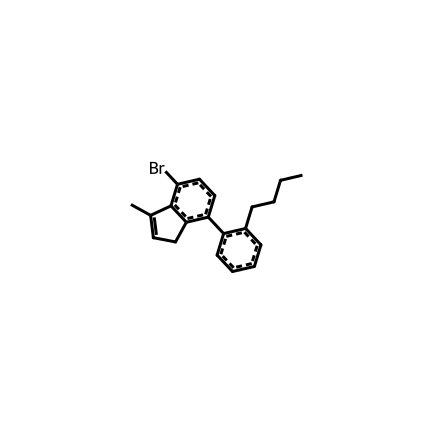 CCCCc1ccccc1-c1ccc(Br)c2c1CC=C2C